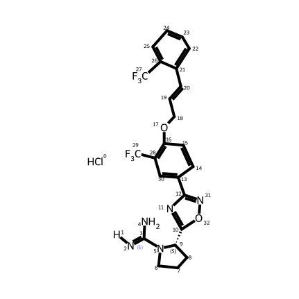 Cl.[H]/N=C(\N)N1CCC[C@H]1c1nc(-c2ccc(OCC=Cc3ccccc3C(F)(F)F)c(C(F)(F)F)c2)no1